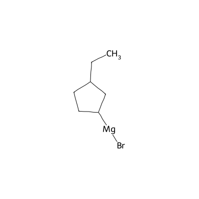 CCC1CC[CH]([Mg][Br])C1